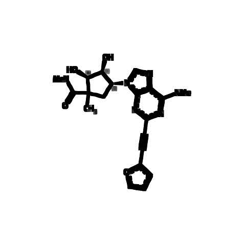 CNC(=O)C1(C)C[C@@H](n2cnc3c(NC)nc(C#Cc4ccco4)nc32)[C@H](O)[C@@H]1O